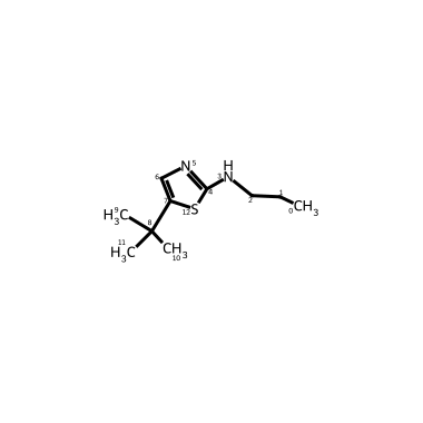 CCCNc1ncc(C(C)(C)C)s1